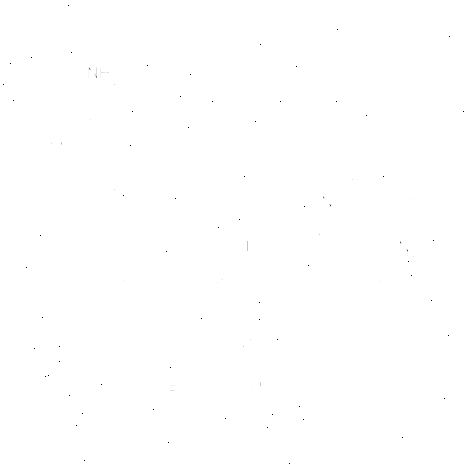 NC(=O)c1cccc(-c2ccc(F)c(C(=O)c3ccc4nccnc4c3)c2F)c1